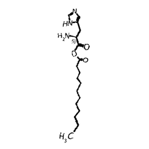 CCCCCCCCCCCC(=O)OC(=O)[C@@H](N)Cc1cnc[nH]1